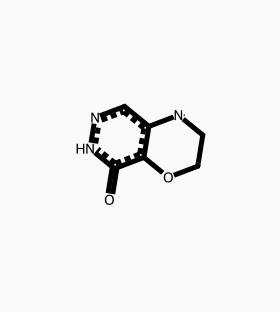 O=c1[nH]ncc2c1OCC[N]2